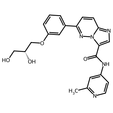 Cc1cc(NC(=O)c2cnc3ccc(-c4cccc(OC[C@H](O)CO)c4)nn23)ccn1